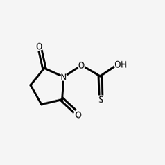 O=C1CCC(=O)N1OC(O)=S